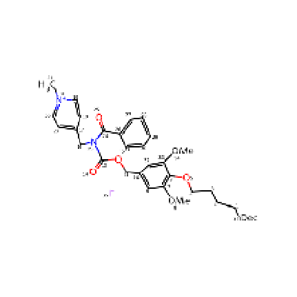 CCCCCCCCCCCCCCOc1c(OC)cc(COC(=O)N(Cc2cc[n+](C)cc2)C(=O)c2ccccc2)cc1OC.[I-]